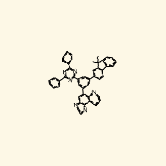 CC1(C)c2ccccc2-c2ccc(-c3cc(-c4nc(-c5ccccc5)nc(-c5ccccc5)n4)cc(-c4cc5nccnc5c5cccnc45)c3)cc21